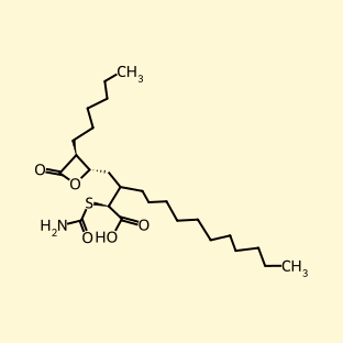 CCCCCCCCCCCC(C[C@@H]1OC(=O)[C@H]1CCCCCC)[C@H](SC(N)=O)C(=O)O